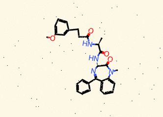 COc1cccc(CCC(=O)N[C@@H](C)C(=O)N[C@H]2N=C(c3ccccc3)c3ccccc3N(C)C2=O)c1